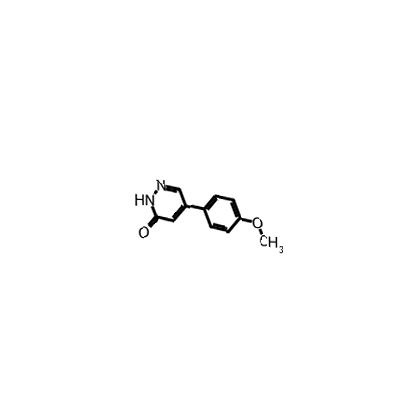 COc1ccc(-c2cn[nH]c(=O)c2)cc1